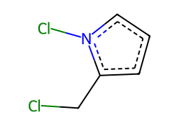 ClCc1cccn1Cl